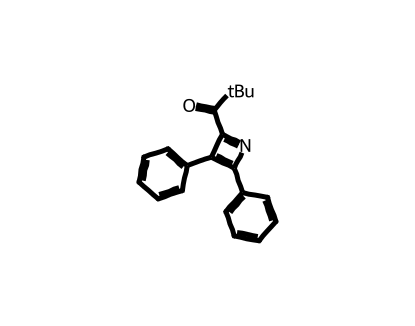 CC(C)(C)C(=O)C1=NC(c2ccccc2)=C1c1ccccc1